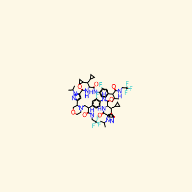 CC(C)C(C(=O)NCC(F)(F)F)c1ccc(NC(=O)[C@@H](NC(=O)c2cc(C3COCCN3CC(C(=O)NCC(F)(F)F)c3ccc(NC(=O)[C@@H](NC(=O)c4ccnn4C(C)C)C(C4CC4)C4CC4)c(F)c3)nn2C(C)C)C(C2CC2)C2CC2)c(F)c1